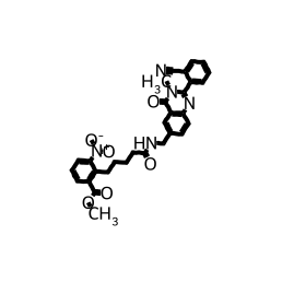 COC(=O)c1cccc([N+](=O)[O-])c1CCCCC(=O)NCc1ccc2nc(-c3ccccc3C#N)n(C)c(=O)c2c1